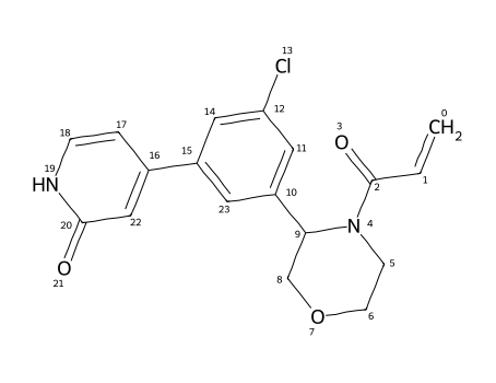 C=CC(=O)N1CCOCC1c1cc(Cl)cc(-c2cc[nH]c(=O)c2)c1